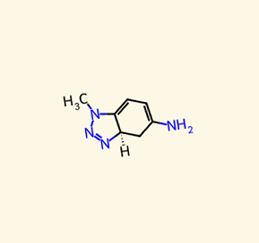 CN1N=N[C@@H]2CC(N)=CC=C21